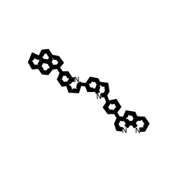 c1cnc2c(c1)ccc1c(-c3ccc(-c4ccc5ccc(-c6ccc7ccc(-c8ccc9ccc%10cccc%11ccc8c9c%10%11)cc7n6)cc5n4)cc3)ccnc12